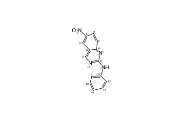 O=[N+]([O-])c1ccc2nc(Nc3ccccc3)ncc2c1